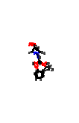 O=C(Oc1ccccc1C(F)(F)F)N1CC(O)C1